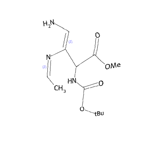 C/C=N\C(=C/N)C(NC(=O)OC(C)(C)C)C(=O)OC